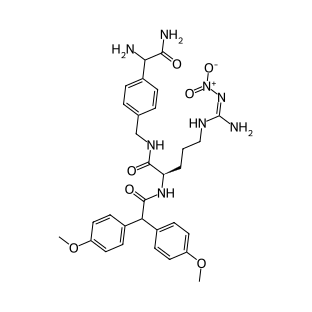 COc1ccc(C(C(=O)N[C@H](CCCN/C(N)=N\[N+](=O)[O-])C(=O)NCc2ccc(C(N)C(N)=O)cc2)c2ccc(OC)cc2)cc1